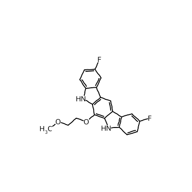 COCCOc1c2[nH]c3ccc(F)cc3c2cc2c1[nH]c1ccc(F)cc12